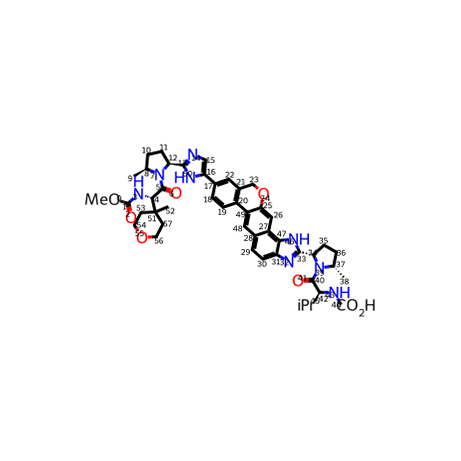 COC(=O)N[C@H](C(=O)N1[C@@H](C)CC[C@H]1c1ncc(-c2ccc3c(c2)COc2cc4c(ccc5nc([C@@H]6CC[C@H](C)N6C(=O)[C@@H](NC(=O)O)C(C)C)[nH]c54)cc2-3)[nH]1)C1(C)CCOCC1